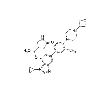 Cc1cc(-c2cc(O[C@H](C)C3CNC(=O)C3)c3c(c2)ncn3C2CC2)ccc1N1CCN(C2COC2)CC1